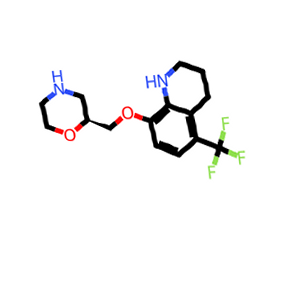 FC(F)(F)c1ccc(OC[C@@H]2CNCCO2)c2c1CCCN2